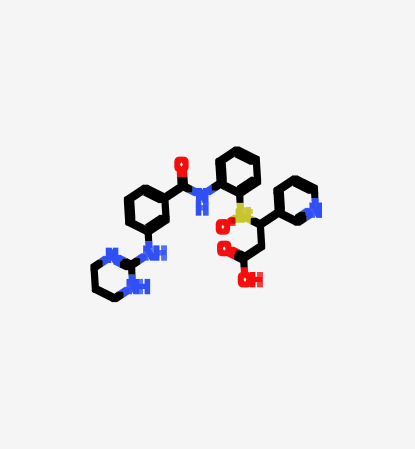 O=C(O)CC(c1cccnc1)[S+]([O-])c1ccccc1NC(=O)c1cccc(NC2=NCCCN2)c1